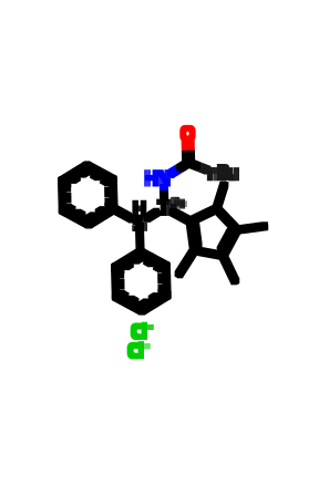 CCCCC(=O)[NH][Ti+2]([C]1=C(C)C(C)=C(C)C1C)[SiH](c1ccccc1)c1ccccc1.[Cl-].[Cl-]